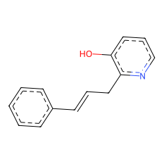 Oc1cccnc1CC=Cc1ccccc1